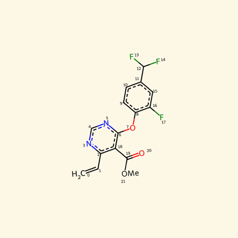 C=Cc1ncnc(Oc2ccc(C(F)F)cc2F)c1C(=O)OC